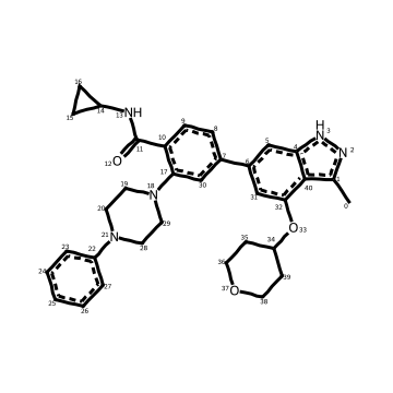 Cc1n[nH]c2cc(-c3ccc(C(=O)NC4CC4)c(N4CCN(c5ccccc5)CC4)c3)cc(OC3CCOCC3)c12